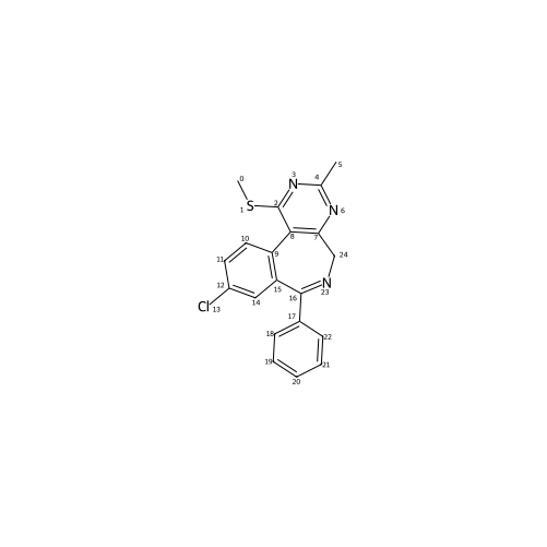 CSc1nc(C)nc2c1-c1ccc(Cl)cc1C(c1ccccc1)=NC2